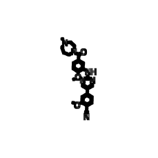 COc1cc(-c2cnc(Nc3cc(C(=O)N4CCCN(C)CC4)ccc3OC)nc2)ccc1C#N